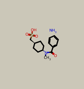 CN(C(=O)c1ccccc1)[C@H]1CC[C@H](CS(=O)(=O)O)CC1.N